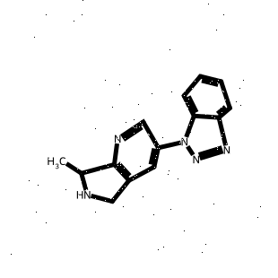 CC1NCc2cc(-n3nnc4ccccc43)cnc21